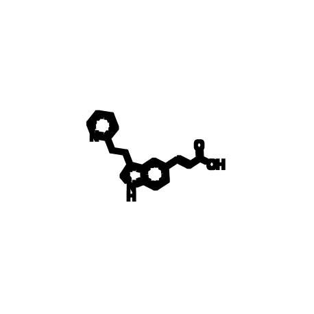 O=C(O)/C=C/c1ccc2[nH]cc(CCc3ccccn3)c2c1